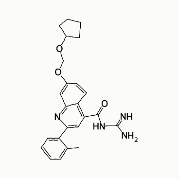 Cc1ccccc1-c1cc(C(=O)NC(=N)N)c2ccc(OCOC3CCCC3)cc2n1